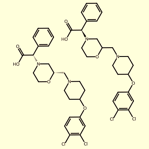 O=C(O)[C@@H](c1ccccc1)N1CCOC(CN2CCC(Oc3ccc(Cl)c(Cl)c3)CC2)C1.O=C(O)[C@H](c1ccccc1)N1CCO[C@@H](CN2CCC(Oc3ccc(Cl)c(Cl)c3)CC2)C1